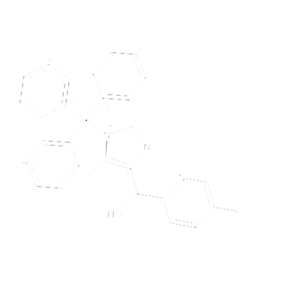 Cc1c(C(O)c2ccc(Cl)cn2)ncn1C(c1ccccc1)(c1ccccc1)c1ccccc1